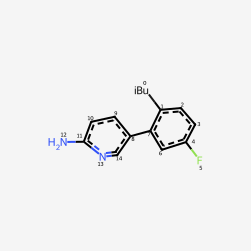 CCC(C)c1ccc(F)cc1-c1ccc(N)nc1